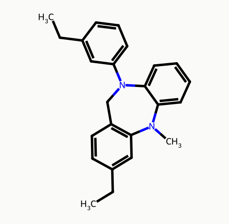 CCc1cccc(N2Cc3ccc(CC)cc3N(C)c3ccccc32)c1